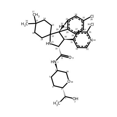 CC(O)[C@@H]1CC[C@@H](NC(=O)[C@@H]2NC3(CCC(C)(C)CC3)[C@@]3(CNc4cc(Cl)ccc43)[C@H]2c2ccnc(Cl)c2)CO1